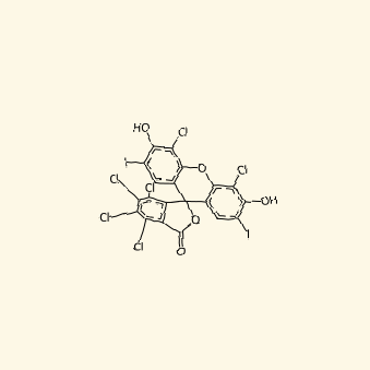 O=C1OC2(c3cc(I)c(O)c(Cl)c3Oc3c2cc(I)c(O)c3Cl)c2c(Cl)c(Cl)c(Cl)c(Cl)c21